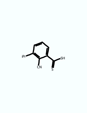 CC(C)c1cccc(C(=S)S)c1C#N